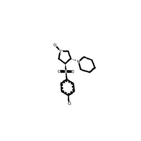 O=S(=O)(c1ccc(Cl)cc1)[C@H]1C[S+]([O-])C[C@@H]1N1CCCCC1